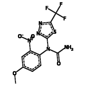 COc1ccc(N(C(N)=O)c2nnc(C(F)(F)F)s2)c([N+](=O)[O-])c1